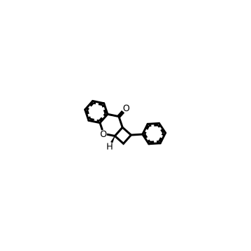 O=C1c2ccccc2O[C@H]2CC(c3ccccc3)C12